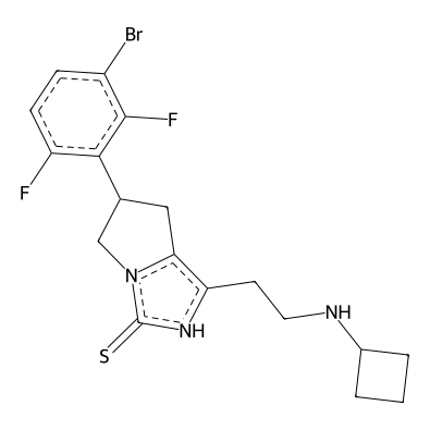 Fc1ccc(Br)c(F)c1C1Cc2c(CCNC3CCC3)[nH]c(=S)n2C1